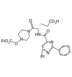 CCOC(=O)ON1CCN(C(=O)[C@H](CCC(=O)O)NC(=O)c2cc(C(C)C)nc(-c3ccccc3)n2)CC1